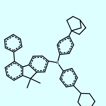 CC1(C)c2cc(N(c3ccc(C4CCCCC4)cc3)c3ccc(C45CCC(CC4)C5)cc3)ccc2-c2c(-c3ccccc3)cccc21